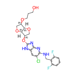 OCCCO[C@@H]1CO[C@H]2[C@@H]1OC[C@H]2Oc1nc2nc(NCc3c(F)cccc3F)c(Cl)cc2[nH]1